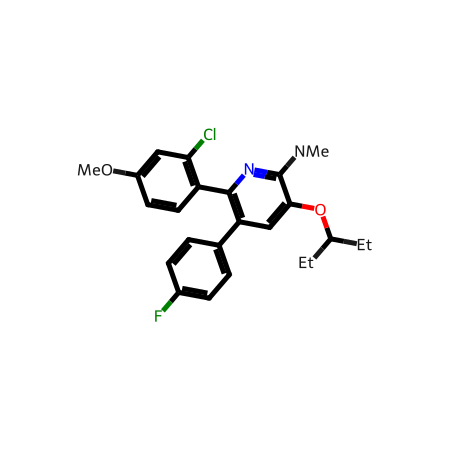 CCC(CC)Oc1cc(-c2ccc(F)cc2)c(-c2ccc(OC)cc2Cl)nc1NC